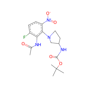 CC(=O)Nc1c(F)ccc([N+](=O)[O-])c1N1CCC(NC(=O)OC(C)(C)C)C1